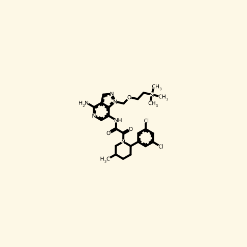 CC1CCC(c2cc(Cl)cc(Cl)c2)N(C(=O)C(=O)Nc2cnc(N)c3cnn(COCC[Si](C)(C)C)c23)C1